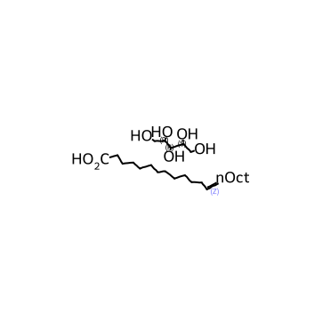 CCCCCCCC/C=C\CCCCCCCCCCCC(=O)O.OC[C@@H](O)[C@H](O)[C@@H](O)CO